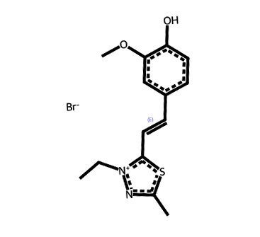 CC[n+]1nc(C)sc1/C=C/c1ccc(O)c(OC)c1.[Br-]